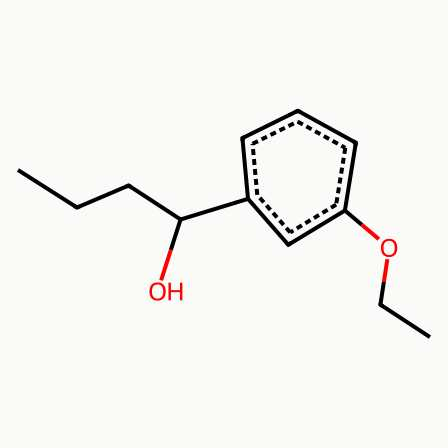 CCCC(O)c1cccc(OCC)c1